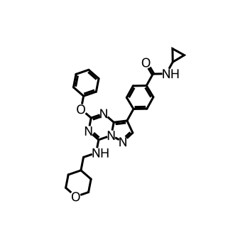 O=C(NC1CC1)c1ccc(-c2cnn3c(NCC4CCOCC4)nc(Oc4ccccc4)nc23)cc1